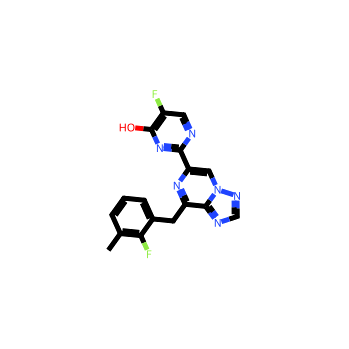 Cc1cccc(Cc2nc(-c3ncc(F)c(O)n3)cn3ncnc23)c1F